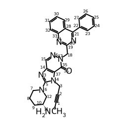 CC#CCn1c(N2CCC[C@@H](N)C2)nc2cnn(Cc3nc(-c4ccccc4)c4ccccc4n3)c(=O)c21